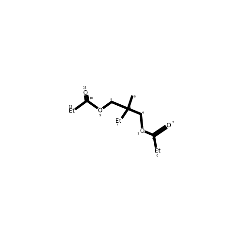 CCC(=O)OCC(C)(CC)COC(=O)CC